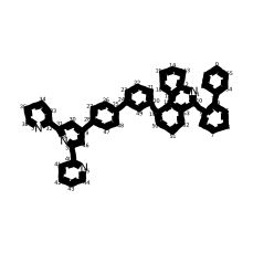 c1ccc(-c2ccccc2-c2nc3ccccc3c3c(-c4cccc(-c5ccc(-c6cc(-c7ccccn7)nc(-c7ccccn7)c6)cc5)c4)cccc23)cc1